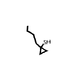 CCCCC1(S)CC1